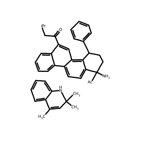 CC(=O)C1(N)CCC(c2ccccc2)c2c1ccc1c2cc(C(=O)CC(C)C)c2ccccc21.CC1=CC(C)(C)Nc2ccccc21